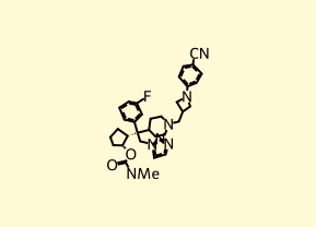 CNC(=O)O[C@H]1CCC[C@@H]1C(Cn1ccnn1)(c1cccc(F)c1)C1CCN(CC2CN(c3ccc(C#N)cc3)C2)CC1